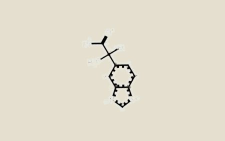 CCC(C)(C(=O)C(C)C)c1ccc2scnc2c1